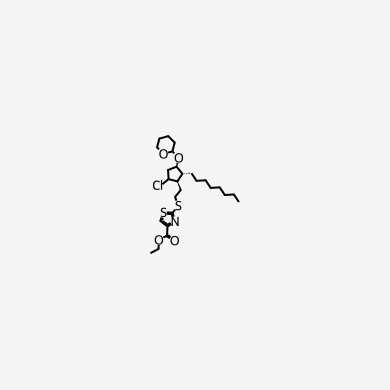 CCCCCCCC[C@H]1[C@H](OC2CCCCO2)CC(Cl)[C@@H]1CCSc1nc(C(=O)OCC)cs1